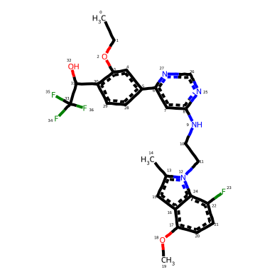 CCOc1cc(-c2cc(NCCn3c(C)cc4c(OC)ccc(F)c43)ncn2)ccc1C(O)C(F)(F)F